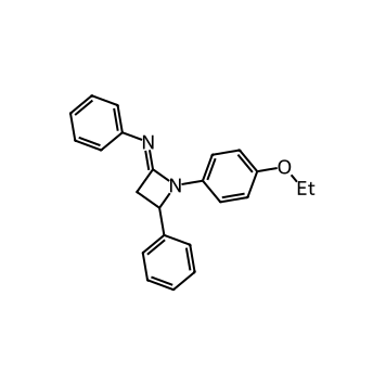 CCOc1ccc(N2/C(=N/c3ccccc3)CC2c2ccccc2)cc1